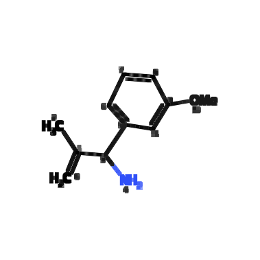 C=C(C)C(N)c1cccc(OC)c1